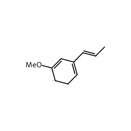 CC=CC1=CC[CH]C(OC)=C1